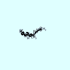 Cc1cc(Nc2nccn3c(-c4ccc(OC(F)F)cc4)cnc23)ccc1C(=O)NCCOCCNS(C)(=O)=O